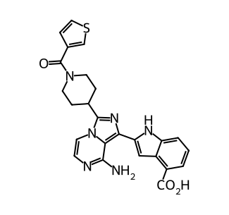 Nc1nccn2c(C3CCN(C(=O)c4ccsc4)CC3)nc(-c3cc4c(C(=O)O)cccc4[nH]3)c12